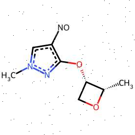 C[C@@H]1OC[C@@H]1Oc1nn(C)cc1N=O